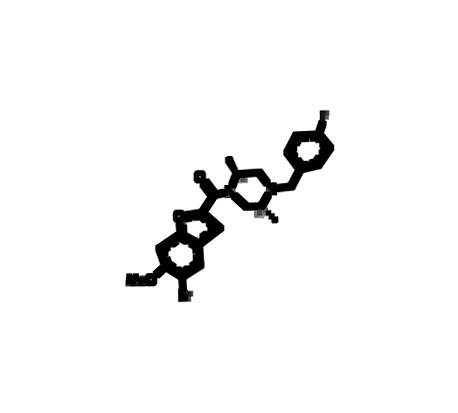 COc1cc2oc(C(=O)N3C[C@@H](C)N(Cc4ccc(F)cc4)C[C@@H]3C)cc2cc1Br